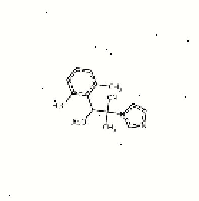 CC(=O)OC(c1c(C)cccc1C)C(C)(C#N)n1ccnc1